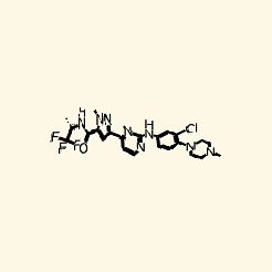 C[C@H](NC(=O)c1cc(-c2ccnc(Nc3ccc(N4CCN(C)CC4)c(Cl)c3)n2)nn1C)C(F)(F)F